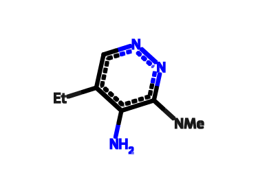 CCc1cnnc(NC)c1N